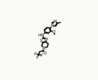 COc1cc(Nc2nc3c(s2)CN(C(=O)CC(F)(F)F)CC3)ccc1-n1cnc(C)c1